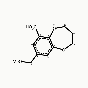 COCc1cc2c(c(C(=O)O)c1)OCCCO2